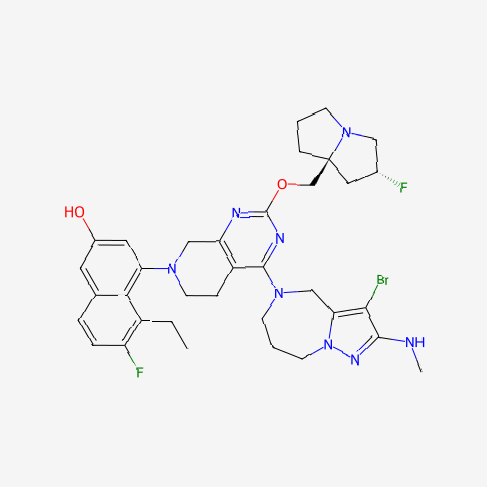 CCc1c(F)ccc2cc(O)cc(N3CCc4c(nc(OC[C@@]56CCCN5C[C@H](F)C6)nc4N4CCCn5nc(NC)c(Br)c5C4)C3)c12